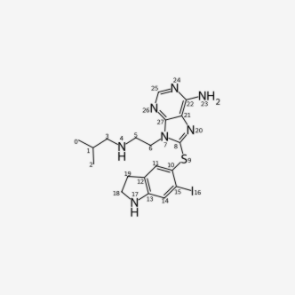 CC(C)CNCCn1c(Sc2cc3c(cc2I)NCC3)nc2c(N)ncnc21